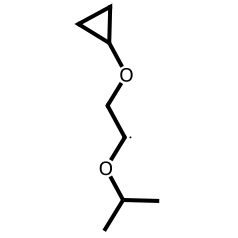 CC(C)O[CH]COC1CC1